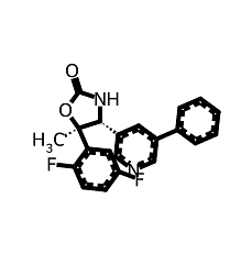 C[C@]1(c2cc(F)ccc2F)OC(=O)N[C@@H]1c1cncc(-c2ccccc2)c1